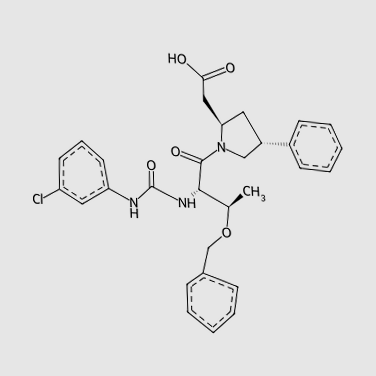 C[C@@H](OCc1ccccc1)[C@H](NC(=O)Nc1cccc(Cl)c1)C(=O)N1C[C@@H](c2ccccc2)C[C@@H]1CC(=O)O